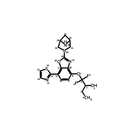 CCC(O)C(F)(F)Oc1ccc(-c2nccs2)c2oc(N3CC4CC(C3)N4)nc12